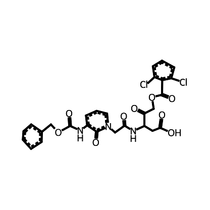 O=C(O)CC(NC(=O)Cn1cccc(NC(=O)OCc2ccccc2)c1=O)C(=O)COC(=O)c1c(Cl)cccc1Cl